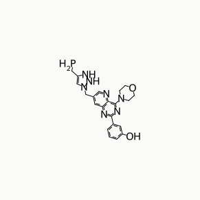 Oc1cccc(-c2nc(N3CCOCC3)c3ncc(CN4C=C(CP)NN4)cc3n2)c1